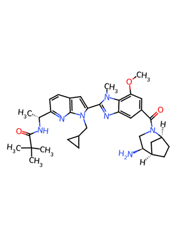 COc1cc(C(=O)N2C[C@H](N)[C@@H]3CC[C@H]2C3)cc2nc(-c3cc4ccc([C@@H](C)NC(=O)C(C)(C)C)nc4n3CC3CC3)n(C)c12